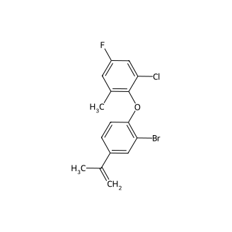 C=C(C)c1ccc(Oc2c(C)cc(F)cc2Cl)c(Br)c1